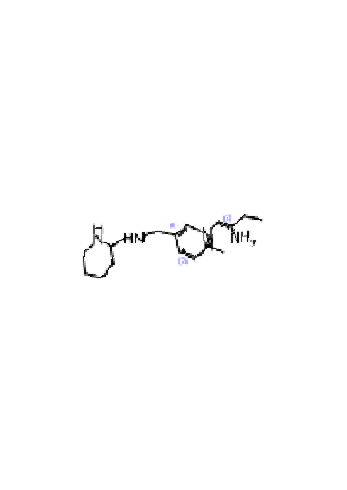 C=C(C)/C=C\C(=C/N/C=C(\N)CC)CNCC1CCCCN1